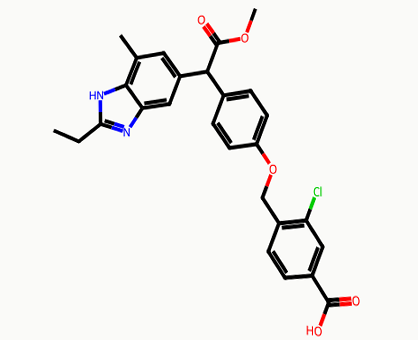 CCc1nc2cc(C(C(=O)OC)c3ccc(OCc4ccc(C(=O)O)cc4Cl)cc3)cc(C)c2[nH]1